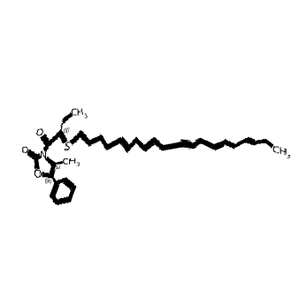 CCC=CCC=CCC=CCC=CCC=CCCCCS[C@@H](CC)C(=O)N1C(=O)O[C@H](c2ccccc2)[C@@H]1C